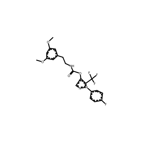 COc1cc(CCNC(=O)Oc2cnn(-c3ccc(F)cc3)c2C(F)(F)F)cc(OC)c1